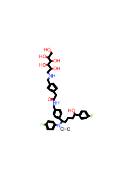 O=CN(c1ccc(F)cc1)C(CCCC(O)c1ccc(F)cc1)c1ccc(CNC(=O)Cc2ccc(CNCC(O)C(O)C(O)C(O)CO)cc2)cc1